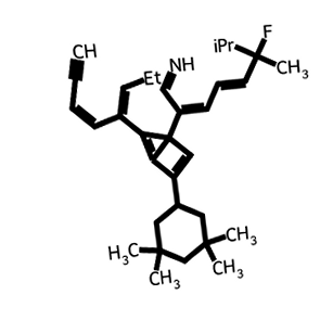 C#C/C=C\C(=C\CC)C1=C2C(C3CC(C)(C)CC(C)(C)C3)=CC21/C(C=N)=C/C=C/C(C)(F)C(C)C